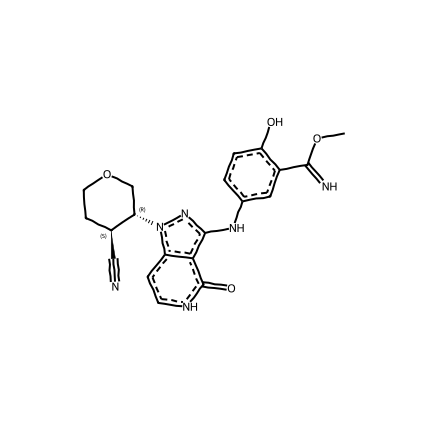 COC(=N)c1cc(Nc2nn([C@H]3COCC[C@@H]3C#N)c3cc[nH]c(=O)c23)ccc1O